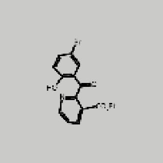 CCOC(=O)c1cccnc1C(=O)c1cc(Br)ccc1O